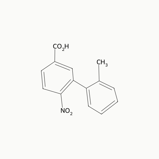 Cc1ccccc1-c1cc(C(=O)O)ccc1[N+](=O)[O-]